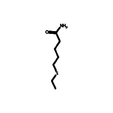 CCSCCCCC(N)=O